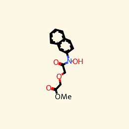 COC(=O)COCC(=O)N(O)c1ccc2ccccc2c1